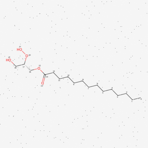 CCCCCCCCCCCCCC(=O)OC[C@H](CO)OO